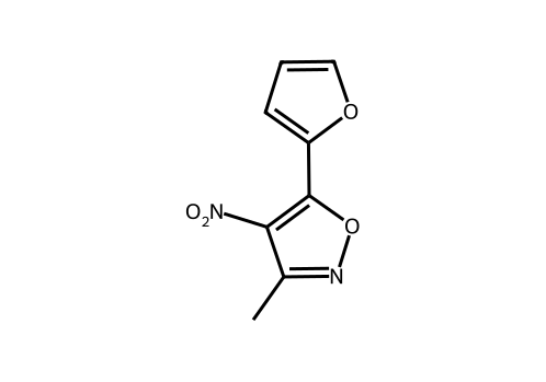 Cc1noc(-c2ccco2)c1[N+](=O)[O-]